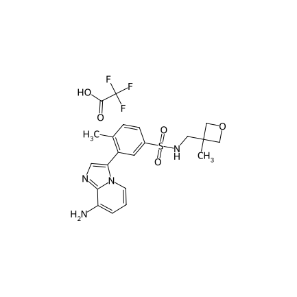 Cc1ccc(S(=O)(=O)NCC2(C)COC2)cc1-c1cnc2c(N)cccn12.O=C(O)C(F)(F)F